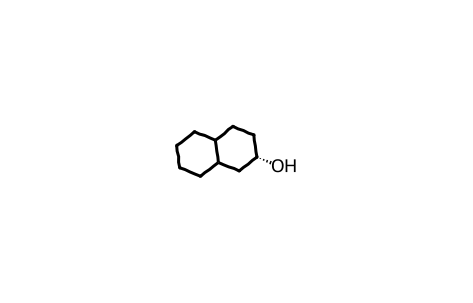 O[C@H]1CCC2CCCCC2C1